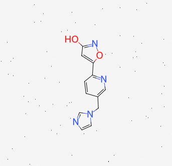 Oc1cc(-c2ccc(Cn3ccnc3)cn2)on1